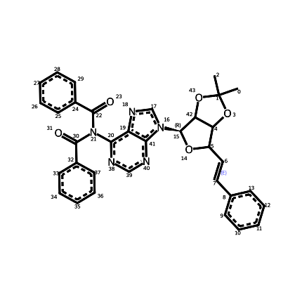 CC1(C)OC2C(/C=C/c3ccccc3)O[C@@H](n3cnc4c(N(C(=O)c5ccccc5)C(=O)c5ccccc5)ncnc43)C2O1